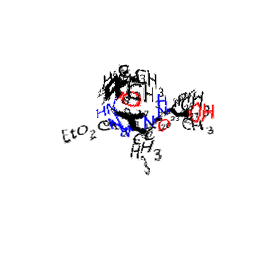 CCOC(=O)n1nc2c(c1NC(=O)C1([Si](C)(C)C)CCC1)CN(C(=O)N[C@H](CC(C)(C)O)C(C)C)C2(C)C